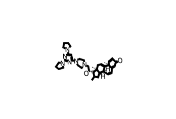 CC1C[C@H]2[C@@H]3C=CC4=CC(=O)C=C[C@]4(C)C3=CC[C@]2(C)[C@H]1C(=O)CN1CCN(c2cc(N3CCCC3)nc(N3CCCC3)n2)CC1